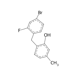 Cc1ccc(Cc2ccc(Br)cc2F)c(O)c1